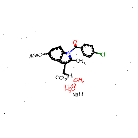 COc1ccc2c(c1)c(CC(=O)O)c(C)n2C(=O)c1ccc(Cl)cc1.O.O.O.[NaH]